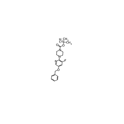 CC(C)(C)OC(=O)N1CCN(c2ncc(OCc3ccccc3)cc2F)CC1